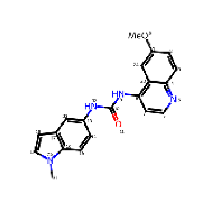 COc1ccc2nccc(NC(=O)Nc3ccc4c(ccn4C)c3)c2c1